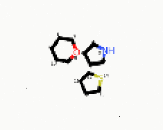 C1CCNC1.C1CCOCC1.C1CCSC1